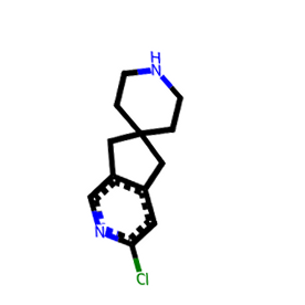 Clc1cc2c(cn1)CC1(CCNCC1)C2